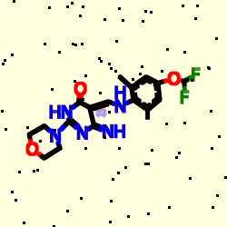 Cc1cc(OC(F)F)cc(C)c1N/C=C1\C(=N)N=C(N2CCOCC2)NC1=O